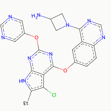 CCc1[nH]c2nc(Oc3cncnc3)nc(Oc3ccc4ncnc(N5CC(N)C5)c4c3)c2c1Cl